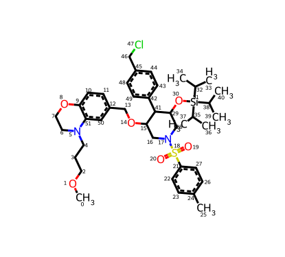 COCCCN1CCOc2ccc(COC3CN(S(=O)(=O)c4ccc(C)cc4)CC(O[Si](C(C)C)(C(C)C)C(C)C)C3c3ccc(CCl)cc3)cc21